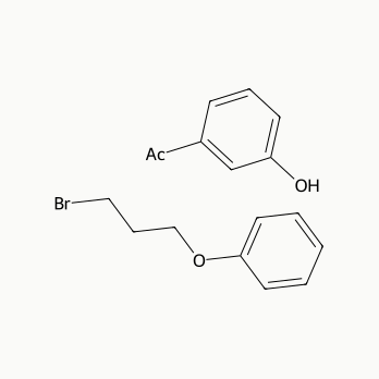 BrCCCOc1ccccc1.CC(=O)c1cccc(O)c1